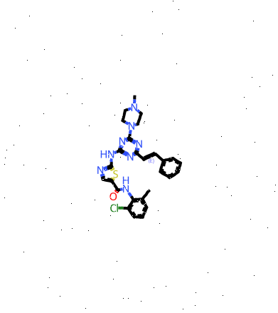 Cc1cccc(Cl)c1NC(=O)c1cnc(Nc2nc(/C=C/c3ccccc3)nc(N3CCN(C)CC3)n2)s1